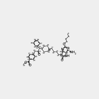 CCCCOc1nc(N)c2[nH]c(=O)n(CCCCN3CCC(C(C(=O)Cc4ccc(C(=O)OC)cc4)c4ccccc4)CC3)c2n1